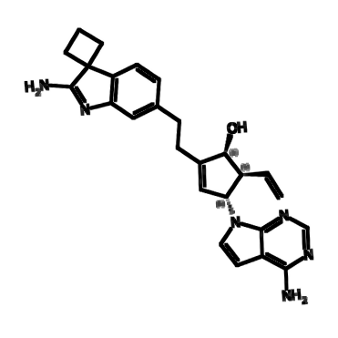 C=C[C@@H]1[C@H](O)C(CCc2ccc3c(c2)N=C(N)C32CCC2)=C[C@H]1n1ccc2c(N)ncnc21